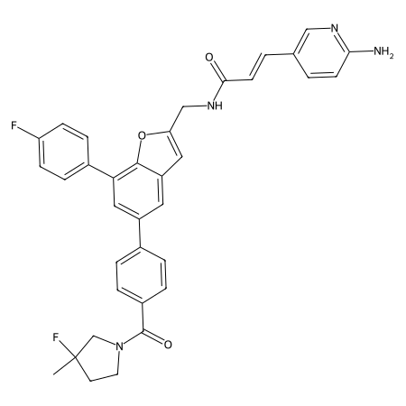 CC1(F)CCN(C(=O)c2ccc(-c3cc(-c4ccc(F)cc4)c4oc(CNC(=O)C=Cc5ccc(N)nc5)cc4c3)cc2)C1